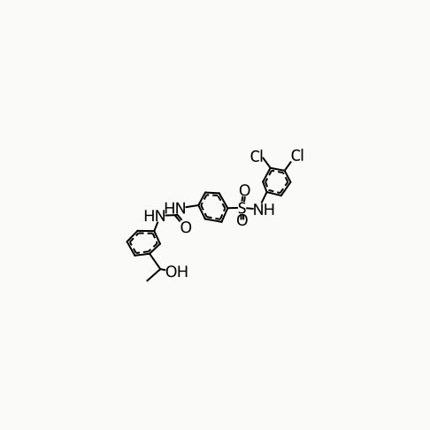 CC(O)c1cccc(NC(=O)Nc2ccc(S(=O)(=O)Nc3ccc(Cl)c(Cl)c3)cc2)c1